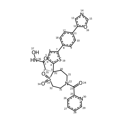 O=C(C[C@]1(c2ccc(-c3ccc(-c4cnco4)cc3)s2)CCN(C(=O)c2ccccn2)CCS1(=O)=O)NO